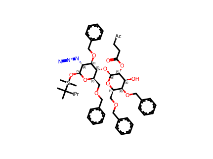 CC(=O)CCC(=O)O[C@H]1[C@H](O[C@H]2[C@H](OCc3ccccc3)[C@@H](N=[N+]=[N-])[C@H](O[Si](C)(C)C(C)(C)C(C)C)O[C@@H]2COCc2ccccc2)O[C@H](COCc2ccccc2)[C@H](OCc2ccccc2)[C@@H]1O